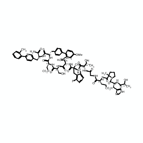 CCc1cc(OC)ccc1-c1ccc(C[C@H](NC(=O)[C@H](CC(=O)O)NC(=O)[C@H](CO)NC(=O)[C@@H](NC(=O)C(C)(Cc2c(F)cccc2F)NC(=O)[C@@H](NC(=O)CNC(=O)[C@H](CCC(=O)O)NC(=O)C2(C)CCCN2C(=O)[C@H](Cc2c[nH]cn2)NC(=O)[C@H](C)O)[C@@H](C)O)[C@@H](C)O)C(=O)N[C@@H](Cc2ccc(-c3ccccc3C)nc2)C(N)=O)cc1